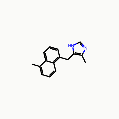 Cc1nc[nH]c1Cc1cccc2c(C)cccc12